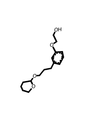 OCCOc1cccc(CCCOC2CCCCO2)c1